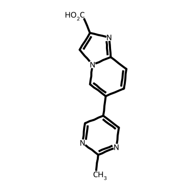 Cc1ncc(-c2ccc3nc(C(=O)O)cn3c2)cn1